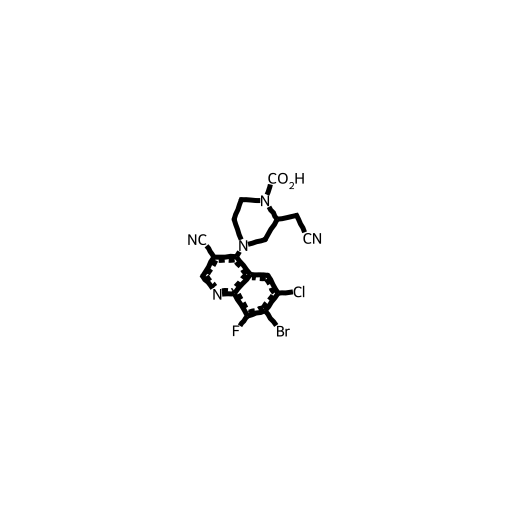 N#CCC1CN(c2c(C#N)cnc3c(F)c(Br)c(Cl)cc23)CCN1C(=O)O